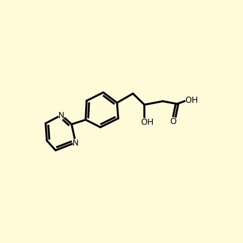 O=C(O)CC(O)Cc1ccc(-c2ncccn2)cc1